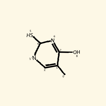 CC1=C[N]C(S)N=C1O